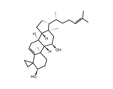 CC(C)=CCC[C@@H](C)[C@H]1CC[C@H]2[C@@H]3CC=C4C5(CC5)[C@H](O)CC[C@]4(C)[C@H]3[C@H](O)C[C@]12C